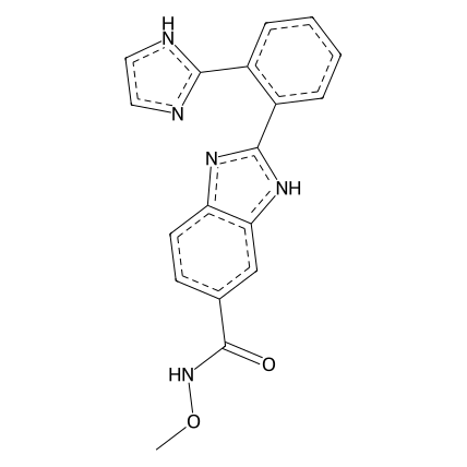 CONC(=O)c1ccc2nc(-c3ccccc3-c3ncc[nH]3)[nH]c2c1